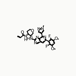 C=CC(=O)N[C@H]1CCOC[C@H]1Nc1ncc2cc(-c3c(F)c(OC)cc(OC)c3F)nc(-c3cnn(C)c3)c2n1